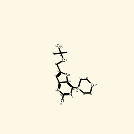 CC(C)(O)OCc1cc2nc(Cl)nc(N3CCOCC3)c2s1